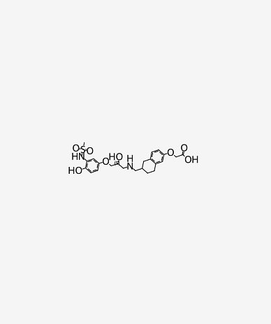 CS(=O)(=O)Nc1cc(OC[C@@H](O)CNCC2CCc3cc(OCC(=O)O)ccc3C2)ccc1O